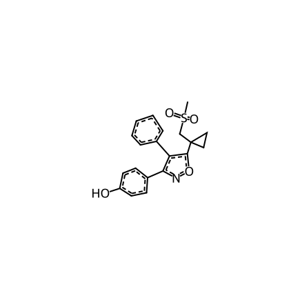 CS(=O)(=O)CC1(c2onc(-c3ccc(O)cc3)c2-c2ccccc2)CC1